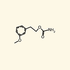 COc1cccc(CCOC(N)=O)c1